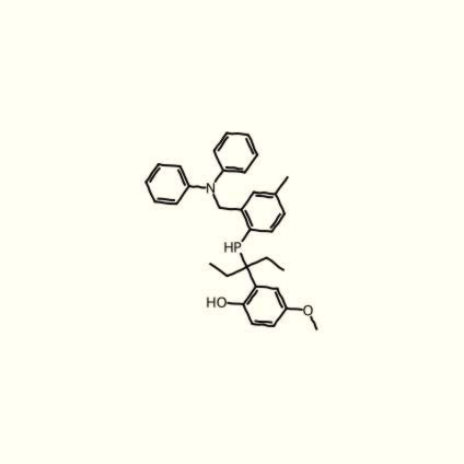 CCC(CC)(Pc1ccc(C)cc1CN(c1ccccc1)c1ccccc1)c1cc(OC)ccc1O